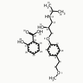 COCCc1ccc(OC[C@@H](O)CNC(C)C)cc1.O=C(O)c1ccccc1O